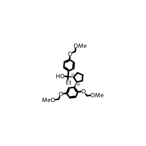 CCC(O)(c1ccc(OCOC)cc1)[C@H]1CCC[C@H]1c1cc(OCOC)ccc1OCOC